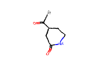 CCC(=O)C1CCNC(=O)C1